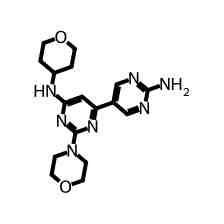 Nc1ncc(-c2cc(NC3CCOCC3)nc(N3CCOCC3)n2)cn1